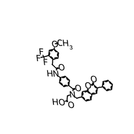 COc1ccc(CC(=O)Nc2ccc(C(=O)N(CC(=O)O)Cc3ccc4cc(-c5ccccc5)c(=O)oc4c3)cc2)c(C(F)(F)F)c1